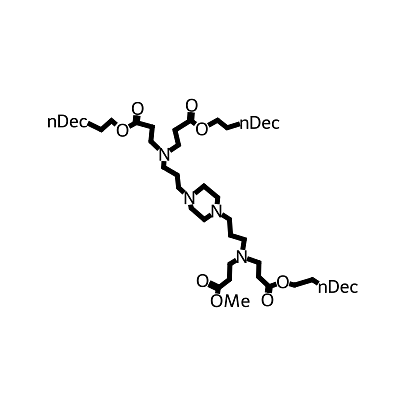 CCCCCCCCCCCCOC(=O)CCN(CCCN1CCN(CCCN(CCC(=O)OCCCCCCCCCCCC)CCC(=O)OCCCCCCCCCCCC)CC1)CCC(=O)OC